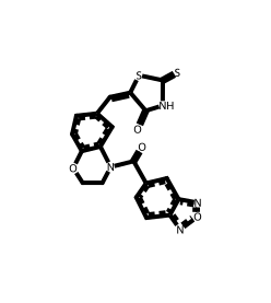 O=C1NC(=S)SC1=Cc1ccc2c(c1)N(C(=O)c1ccc3nonc3c1)CCO2